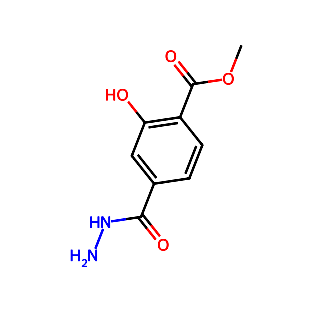 COC(=O)c1ccc(C(=O)NN)cc1O